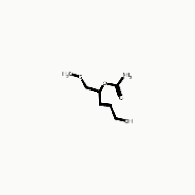 CSCC(CCCO)OC(N)=O